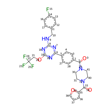 O=C(c1ccc(-c2nc(NCc3ccc(F)cc3)nc(OCC(F)(F)F)n2)cc1)N1CCN(C(=O)c2ccco2)CC1